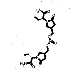 CC[C@@H](C(N)=O)N1CC(CO[N+](=O)OCC2CC(=O)N([C@@H](CC)C(N)=O)C2)CC1=O